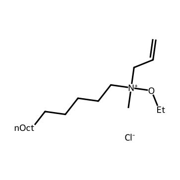 C=CC[N+](C)(CCCCCCCCCCCCC)OCC.[Cl-]